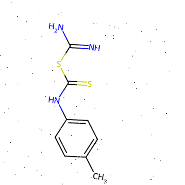 Cc1ccc(NC(=S)SC(=N)N)cc1